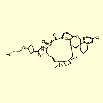 COCCOC1CN(C(=O)NC2[C@@H](C)C/C=C/[C@H](OC)[C@@H]3CC[C@H]3CN3C[C@@]4(CCCc5cc(Cl)ccc54)COc4ccc(cc43)C(=O)/N=[SH]\2=O)C1